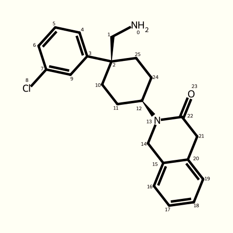 NC[C@]1(c2cccc(Cl)c2)CC[C@H](N2Cc3ccccc3CC2=O)CC1